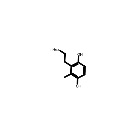 CCCCCCCCc1c(O)ccc(O)c1C